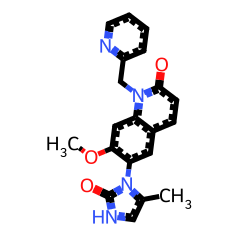 COc1cc2c(ccc(=O)n2Cc2ccccn2)cc1-n1c(C)c[nH]c1=O